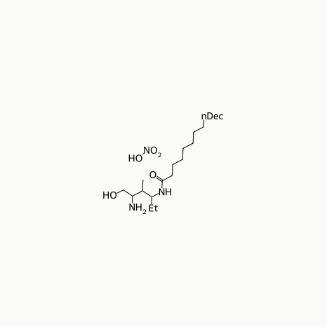 CCCCCCCCCCCCCCCCCC(=O)NC(CC)C(C)C(N)CO.O=[N+]([O-])O